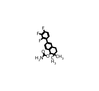 CC1(C)CCc2cc(-c3ccc(F)c(F)c3F)ccc2C1OC(N)=O